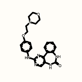 O=C1Nc2ccccc2-c2nc(Nc3ccc(OCCN4CCOCC4)cc3)ncc2N1